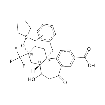 CC[Si](CC)(CC)O[C@]1(C(F)(F)F)CC[C@@]2(Cc3ccccc3)c3ccc(C(=O)O)cc3C(=O)CC(O)[C@@H]2C1